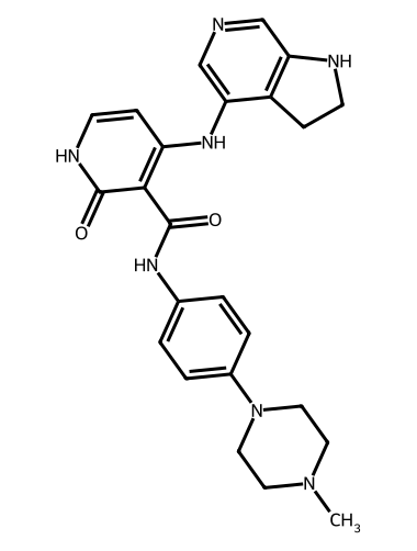 CN1CCN(c2ccc(NC(=O)c3c(Nc4cncc5c4CCN5)cc[nH]c3=O)cc2)CC1